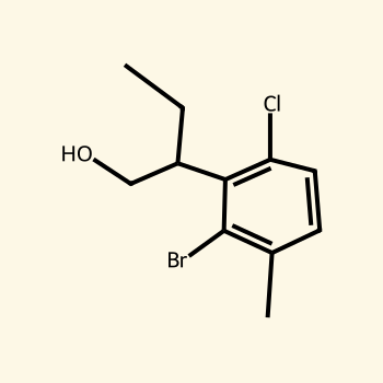 CCC(CO)c1c(Cl)ccc(C)c1Br